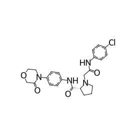 O=C(CN1CCC[C@@H]1C(=O)Nc1ccc(N2CCOCC2=O)cc1)Nc1ccc(Cl)cc1